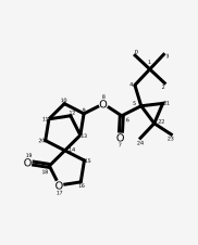 CC(C)(C)CC1(C(=O)OC2CC3CC2C2(CCOC2=O)C3)CC1(C)C